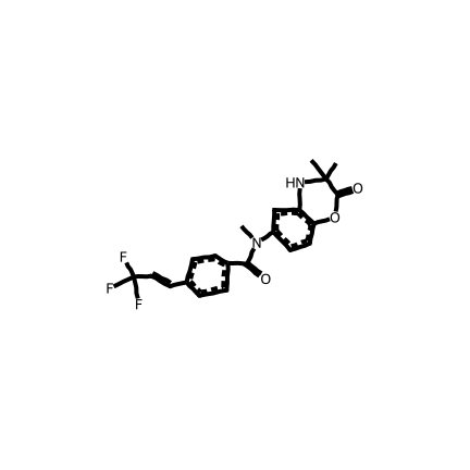 CN(C(=O)c1ccc(C=CC(F)(F)F)cc1)c1ccc2c(c1)NC(C)(C)C(=O)O2